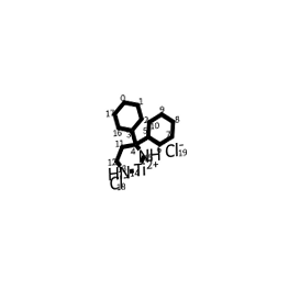 C1CCC(C2(C3CCCCC3)CC[NH][Ti+2][NH]2)CC1.[Cl-].[Cl-]